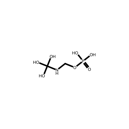 O=P(O)(O)OCNC(O)(O)O